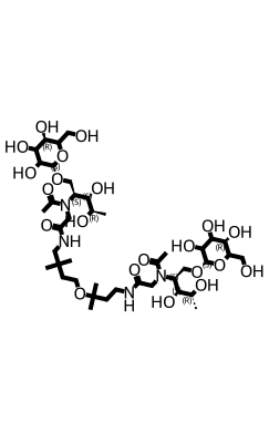 CC(=O)N(CC(=O)NCCC(C)(C)OCCC(C)(C)CNC(=O)CN(C(C)=O)[C@@H](CO[C@H]1OC(CO)[C@H](O)C(O)C1O)[C@H](O)[C@@H](C)O)[C@@H](CO[C@H]1OC(CO)[C@H](O)C(O)C1O)[C@H](O)[C@@H](C)O